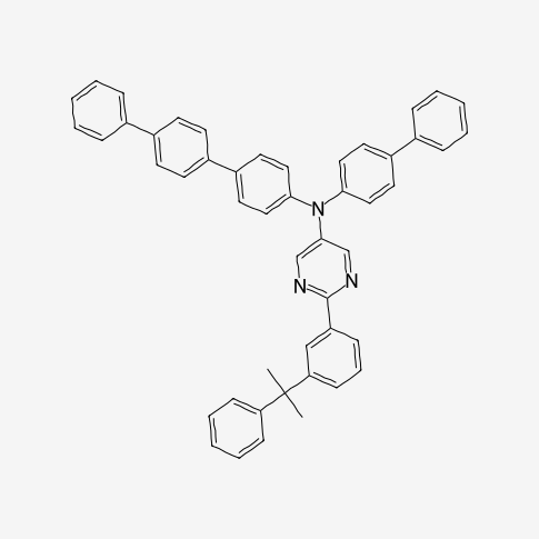 CC(C)(c1ccccc1)c1cccc(-c2ncc(N(c3ccc(-c4ccccc4)cc3)c3ccc(-c4ccc(-c5ccccc5)cc4)cc3)cn2)c1